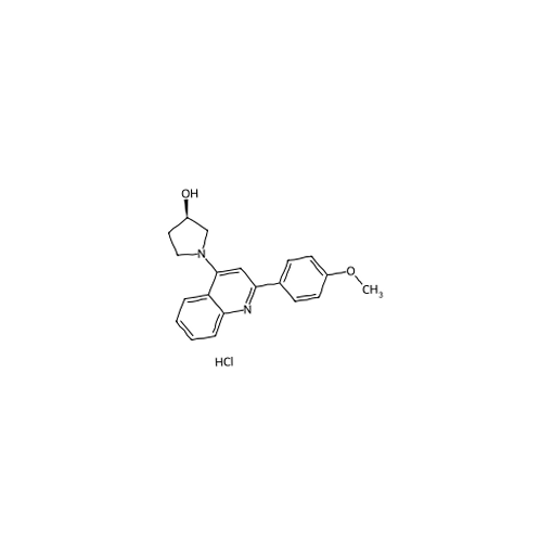 COc1ccc(-c2cc(N3CC[C@@H](O)C3)c3ccccc3n2)cc1.Cl